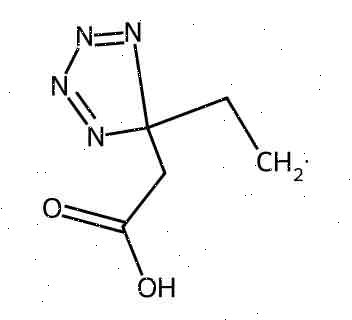 [CH2]CC1(CC(=O)O)N=NN=N1